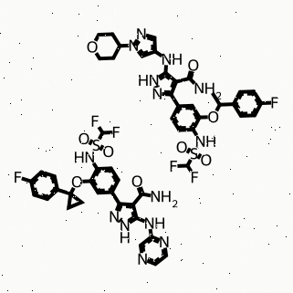 CC(Oc1cc(-c2n[nH]c(Nc3cnn(C4CCOCC4)c3)c2C(N)=O)ccc1NS(=O)(=O)C(F)F)c1ccc(F)cc1.NC(=O)c1c(-c2ccc(NS(=O)(=O)C(F)F)c(OC3(c4ccc(F)cc4)CC3)c2)n[nH]c1Nc1cnccn1